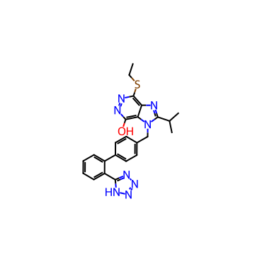 CCSc1nnc(O)c2c1nc(C(C)C)n2Cc1ccc(-c2ccccc2-c2nnn[nH]2)cc1